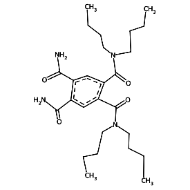 CCCCN(CCCC)C(=O)c1cc(C(N)=O)c(C(N)=O)cc1C(=O)N(CCCC)CCCC